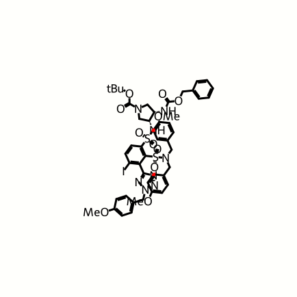 COc1ccc(CN(Cc2ccc(OC)cc2)S(=O)(=O)c2c(S(=O)(=O)N[C@@H]3CN(C(=O)OC(C)(C)C)C[C@@H]3NC(=O)OCc3ccccc3)ccc(I)c2-c2nnn(Cc3ccc(OC)cc3)n2)cc1